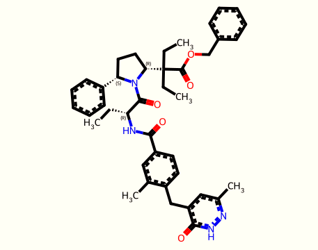 CC[C@@H](NC(=O)c1ccc(Cc2cc(C)n[nH]c2=O)c(C)c1)C(=O)N1[C@H](c2ccccc2)CC[C@@H]1C(CC)(CC)C(=O)OCc1ccccc1